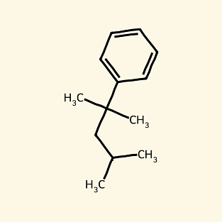 C[C](C)CC(C)(C)c1ccccc1